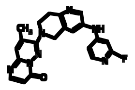 Cc1cc2nccc(=O)n2nc1N1CCc2ncc(Nc3ccnc(F)c3)cc2C1